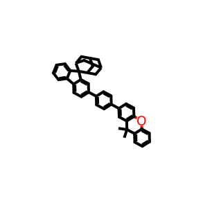 CC1(C)c2ccccc2Oc2ccc(-c3ccc(-c4ccc5c(c4)C4(c6ccccc6-5)C5CC6CC(C5)CC4C6)cc3)cc21